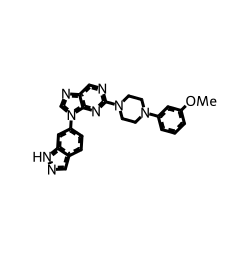 COc1cccc(N2CCN(c3ncc4ncn(-c5ccc6cn[nH]c6c5)c4n3)CC2)c1